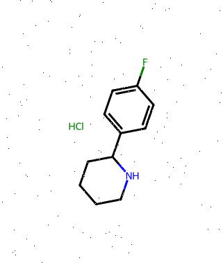 Cl.Fc1ccc(C2CCCCN2)cc1